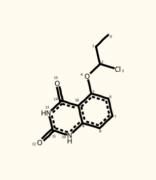 CCC(Cl)Oc1cccc2[nH]c(=O)[nH]c(=O)c12